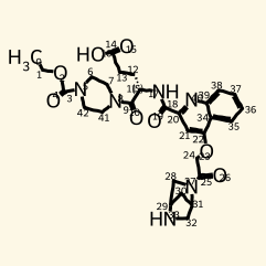 CCOC(=O)N1CCN(C(=O)[C@H](CCC(=O)O)NC(=O)c2cc(OCC(=O)N3CC4CC3CN4)c3ccccc3n2)CC1